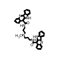 CN(CCCNC(=O)c1c2ccccc2nc2c1[nH]c1ccccc12)CCCNC(=O)c1c2ccccc2nc2c1[nH]c1ccccc12